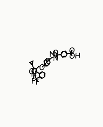 O=C(O)c1ccc(-c2nc(C34CCC(OCc5c(-c6ccccc6C(F)(F)F)noc5C5CC5)(CC3)CC4)no2)cc1